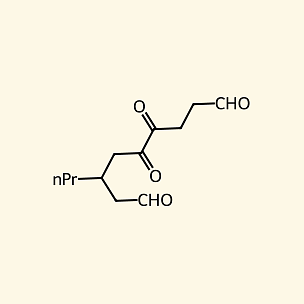 CCCC(CC=O)CC(=O)C(=O)CCC=O